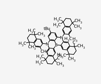 Cc1cc2c(cc1N1c3cc4c(cc3B3c5cc6c(cc5N(c5cc7c(cc5C)C(C)(C)CCC7(C)C)c5cc(C(C)(C)C)cc1c53)C(C)(C)CCC6(C)C)C(C)(C)CCC4(C)C)C(C)(C)CCC2(C)C